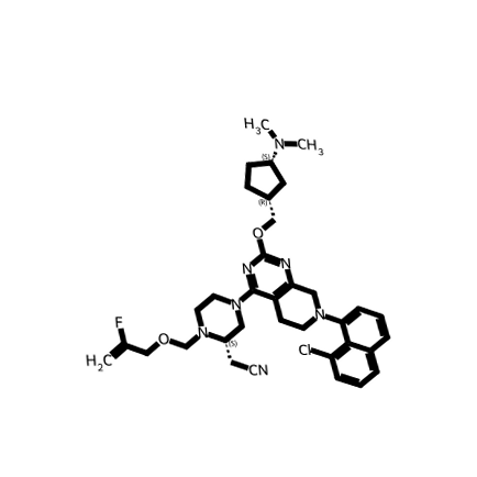 C=C(F)COCN1CCN(c2nc(OC[C@@H]3CC[C@H](N(C)C)C3)nc3c2CCN(c2cccc4cccc(Cl)c24)C3)C[C@@H]1CC#N